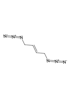 [N-]=[N+]=NC/C=C/CN=[N+]=[N-]